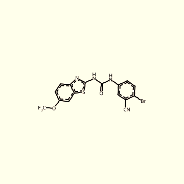 N#Cc1cc(NC(=O)Nc2nc3ccc(OC(F)(F)F)cc3s2)ccc1Br